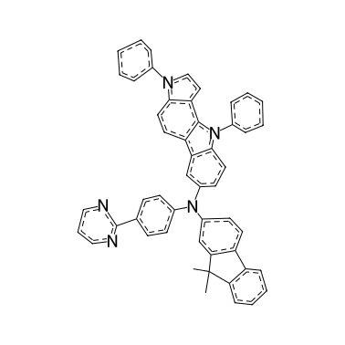 CC1(C)c2ccccc2-c2ccc(N(c3ccc(-c4ncccn4)cc3)c3ccc4c(c3)c3ccc5c(ccn5-c5ccccc5)c3n4-c3ccccc3)cc21